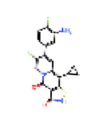 Nc1cc(-c2cc3c(C4CC4)c4s[nH]c(=O)c4c(=O)n3cc2F)ccc1F